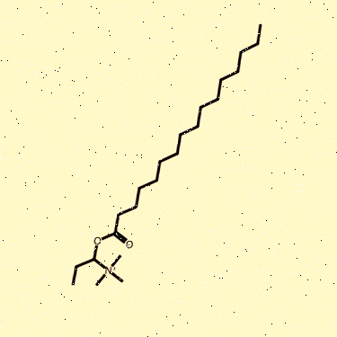 CCCCCCCCCCCCCCCC(=O)OC(CC)[N+](C)(C)C